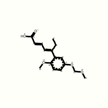 CCC(=CC=CC(=O)O)c1cc(OCOC)ccc1OC